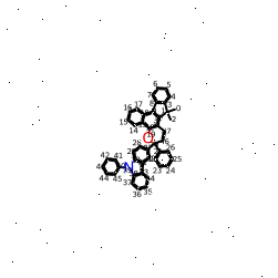 CC1(C)c2ccccc2-c2c1c1c(c3ccccc23)OC(c2ccccc2)(c2ccc3c(c2)c2ccccc2n3-c2ccccc2)C=C1